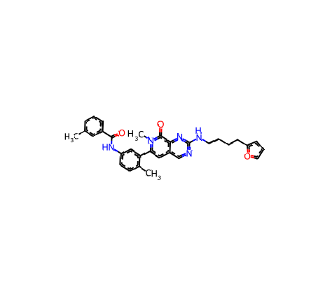 Cc1cccc(C(=O)Nc2ccc(C)c(-c3cc4cnc(NCCCCc5ccco5)nc4c(=O)n3C)c2)c1